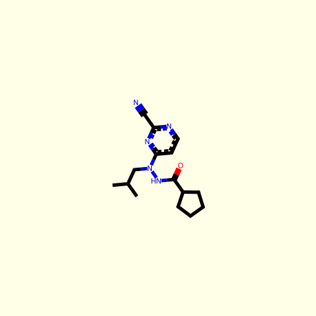 CC(C)CN(NC(=O)C1CCCC1)c1ccnc(C#N)n1